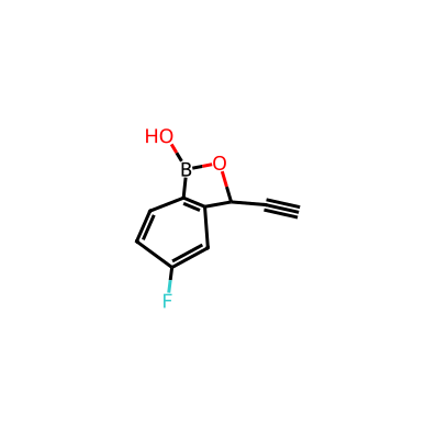 C#CC1OB(O)c2ccc(F)cc21